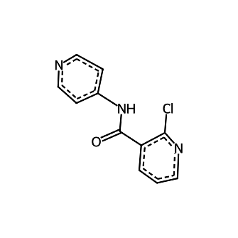 O=C(Nc1ccncc1)c1cccnc1Cl